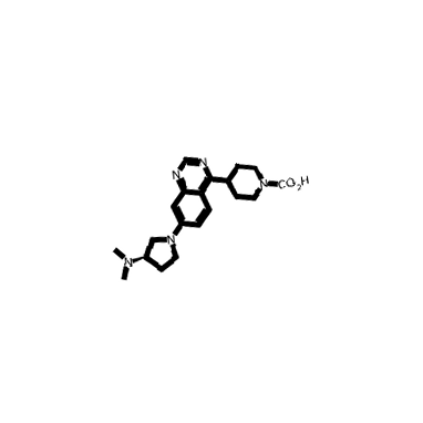 CN(C)[C@@H]1CCN(c2ccc3c(C4CCN(C(=O)O)CC4)ncnc3c2)C1